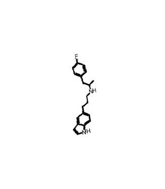 CC(Cc1ccc(F)cc1)NCCCc1ccc2[nH]ccc2c1